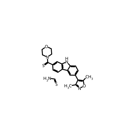 Cc1noc(C)c1-c1ccc2[nH]c3cc(C(=S)N4CCOCC4)ccc3c2c1.NC=S